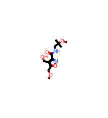 COCc1onc(C(=O)NCC(C)(C)OC)c1CO